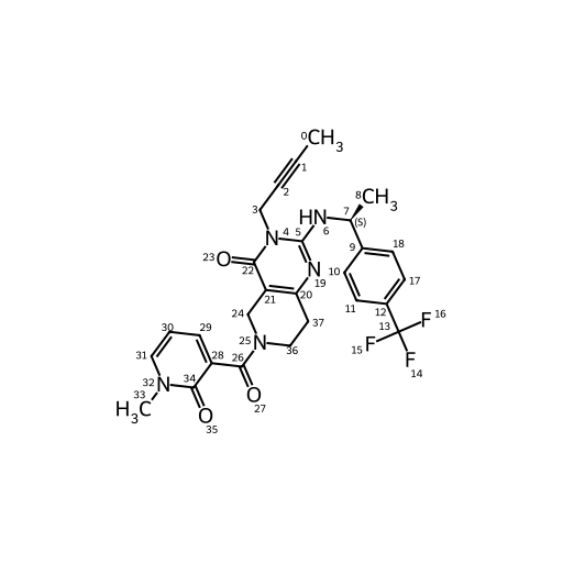 CC#CCn1c(N[C@@H](C)c2ccc(C(F)(F)F)cc2)nc2c(c1=O)CN(C(=O)c1cccn(C)c1=O)CC2